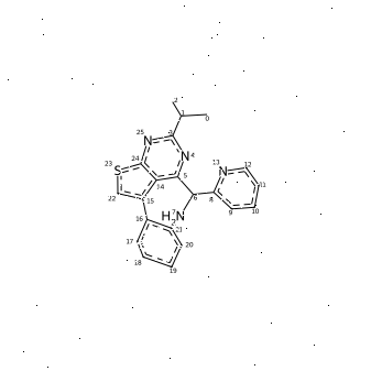 CC(C)c1nc(C(N)c2ccccn2)c2c(-c3ccccc3)csc2n1